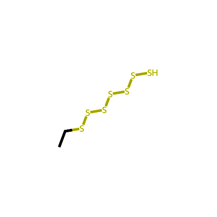 CCSSSSSSS